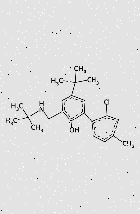 Cc1ccc(-c2cc(C(C)(C)C)cc(CNC(C)(C)C)c2O)c(Cl)c1